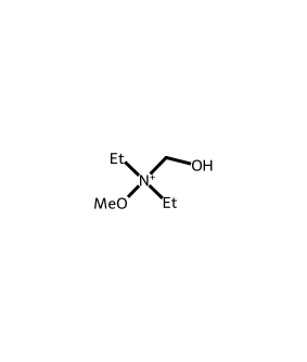 CC[N+](CC)(CO)OC